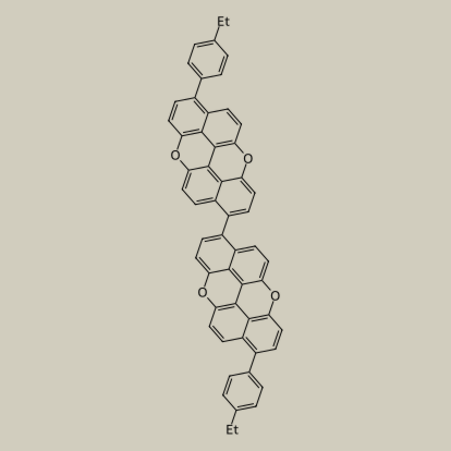 CCc1ccc(-c2ccc3oc4ccc5c(-c6ccc7oc8ccc9c(-c%10ccc(CC)cc%10)ccc%10oc%11ccc6c7c%11-c8c%109)ccc6oc7ccc2c3c7-c4c65)cc1